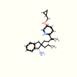 C=C(CCC1(CCC)Cc2ccccc2[C@H]1N)c1ccc(OCC2CC2)cn1